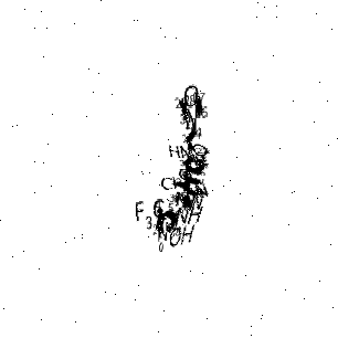 CN1C=C(C(F)(F)F)C=C(Nc2nc3ncc(Oc4ccnc(NC(=O)CCN5CCOCC5)c4)c(Cl)c3n2C)C1O